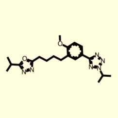 COc1ccc(-c2nnn(C(C)C)n2)cc1CCCCc1nnc(C(C)C)o1